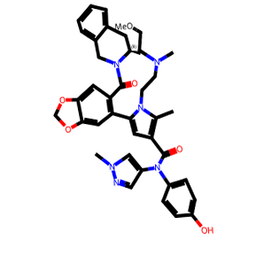 COCCN(C)CCn1c(-c2cc3c(cc2C(=O)N2Cc4ccccc4C[C@H]2C)OCO3)cc(C(=O)N(c2ccc(O)cc2)c2cnn(C)c2)c1C